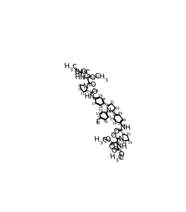 COC(=O)NC(C(=O)N1CCC[C@H]1C(=O)Nc1ccc([C@@H]2CC[C@@H](c3ccc(NC(=O)[C@@H]4CCCN4C(=O)[C@@H](NC(=O)OC)[C@@H](C)OC)cc3)N2c2ccc(F)cc2)cc1)[C@@H](C)OC